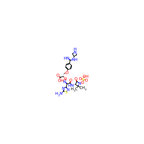 CC1(C)[C@H](NC(=O)/C(=N\O[C@@H](COc2ccc(C(=N)NC3CNC3)cc2)C(=O)O)c2nsc(N)n2)C(=O)N1OS(=O)(=O)O